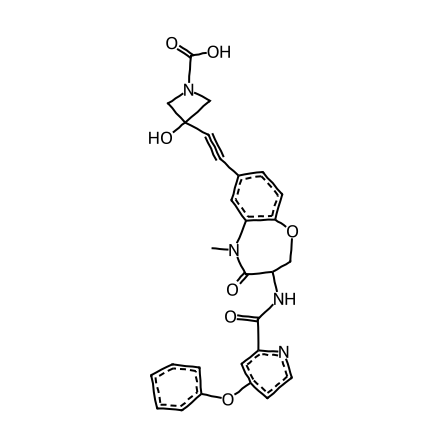 CN1C(=O)C(NC(=O)c2cc(Oc3ccccc3)ccn2)COc2ccc(C#CC3(O)CN(C(=O)O)C3)cc21